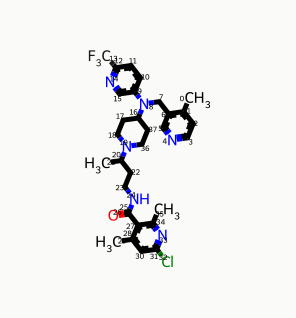 Cc1ccncc1CN(c1ccc(C(F)(F)F)nc1)C1CCN(C(C)CCNC(=O)c2c(C)cc(Cl)nc2C)CC1